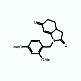 COc1ccc(CN2C(=O)CC3CCC(=O)C=C32)c(OC)c1